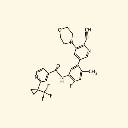 C#Cc1ncc(-c2cc(NC(=O)c3ccnc(C4(C(F)(F)F)CC4)c3)c(F)cc2C)cc1N1CCOCC1